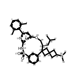 Cc1cccc(C)c1-c1cc2nc(n1)NS(=O)(=O)c1cccc(c1)C1(CC3(CC(N(C)C)C3)C1)[C@H](CC(C)C)CO2